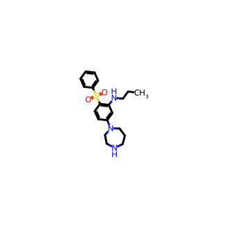 CCCNc1cc(N2CCCNCC2)ccc1S(=O)(=O)c1ccccc1